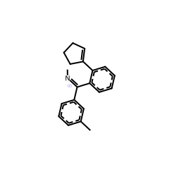 C/N=C(/c1cccc(C)c1)c1ccccc1C1=CCCC1